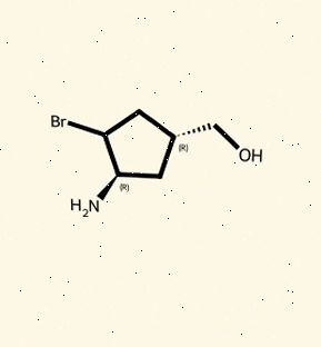 N[C@@H]1C[C@@H](CO)CC1Br